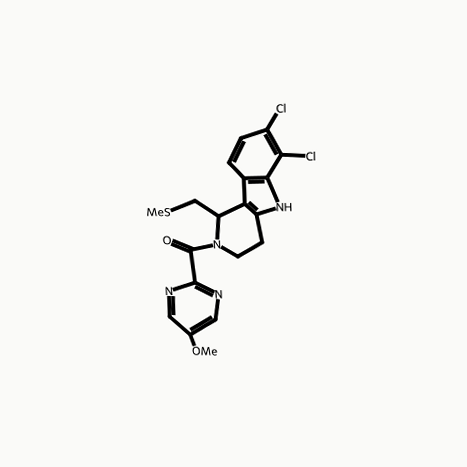 COc1cnc(C(=O)N2CCc3[nH]c4c(Cl)c(Cl)ccc4c3C2CSC)nc1